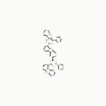 c1ccc(-c2nc(-c3ccc4oc5c(-c6nc(-c7ccccc7)c7sc8ccccc8c7n6)cccc5c4c3)nc(-c3cccc4oc5ccccc5c34)n2)cc1